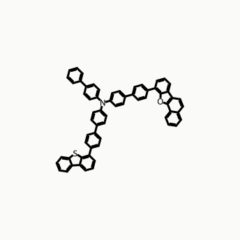 c1ccc(-c2ccc(N(c3ccc(-c4ccc(-c5cccc6c5oc5c7ccccc7ccc65)cc4)cc3)c3ccc(-c4ccc(-c5cccc6c5sc5ccccc56)cc4)cc3)cc2)cc1